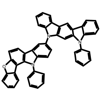 c1ccc(-n2c3ccccc3c3cc4c5ccccc5n(-c5ccc6c(c5)c5ccc7oc8ccccc8c7c5n6-c5ccccc5)c4cc32)cc1